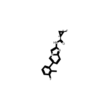 Cc1c(F)cccc1-c1ccc2nc(NC(=O)[C@H]3C[C@H]3F)cn2c1